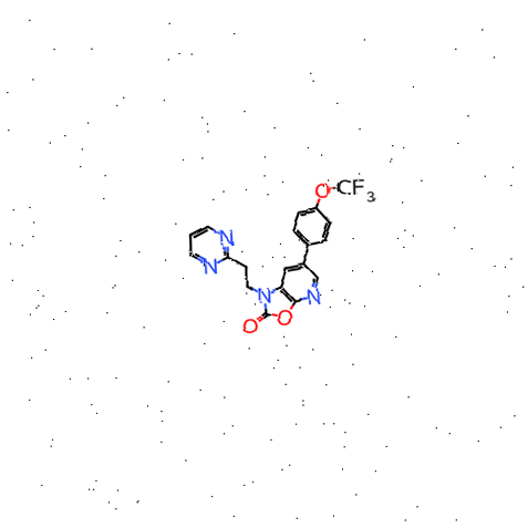 O=c1oc2ncc(-c3ccc(OC(F)(F)F)cc3)cc2n1CCc1ncccn1